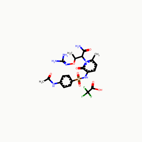 CC(=O)Nc1ccc(S(=O)(=O)Nc2ccc(C)n(C(C(N)=O)C(C)ON=C(N)N)c2=O)cc1.O=C(O)C(F)(F)F